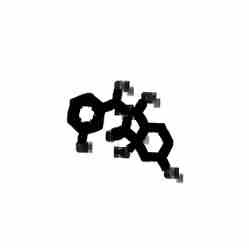 CC1CCC(C(C)C)[C@@](O)(C(=O)NC(C)c2cccc(O)c2)C1